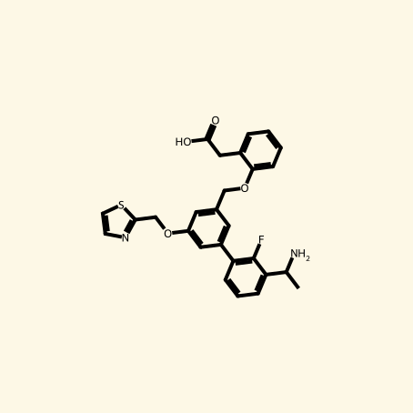 CC(N)c1cccc(-c2cc(COc3ccccc3CC(=O)O)cc(OCc3nccs3)c2)c1F